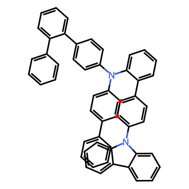 c1ccc(-c2ccc(N(c3ccc(-c4ccccc4-c4ccccc4)cc3)c3ccccc3-c3ccc(-n4c5ccccc5c5ccccc54)cc3)cc2)cc1